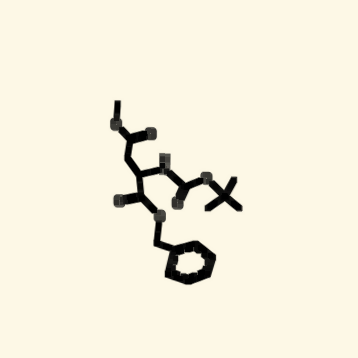 COC(=O)CC(NC(=O)OC(C)(C)C)C(=O)OCc1ccccc1